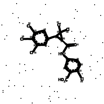 O=C(O)c1cc(NC(=O)[C@H]2C(c3cc(Cl)c(Cl)c(Cl)c3)C2(Cl)Cl)ccc1Cl